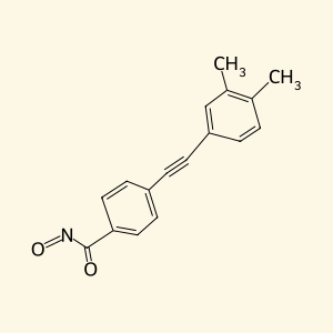 Cc1ccc(C#Cc2ccc(C(=O)N=O)cc2)cc1C